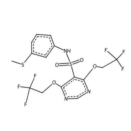 CSc1cccc(NS(=O)(=O)c2c(OCC(F)(F)F)ncnc2OCC(F)(F)F)c1